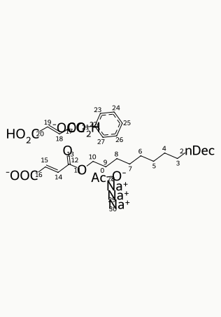 CC(=O)[O-].CCCCCCCCCCCCCCCCCCOC(=O)/C=C/C(=O)[O-].O=C(O)/C=C/C(=O)O.O=C([O-])c1ccccc1.[Na+].[Na+].[Na+]